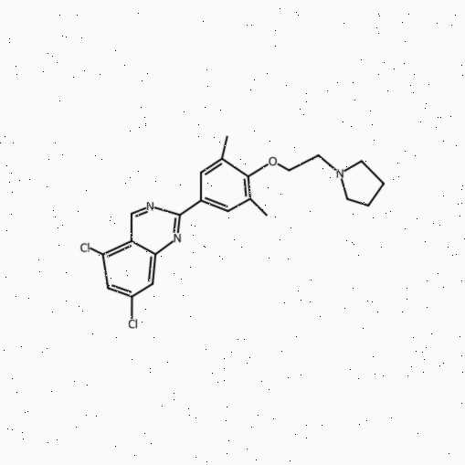 Cc1cc(-c2ncc3c(Cl)cc(Cl)cc3n2)cc(C)c1OCCN1CCCC1